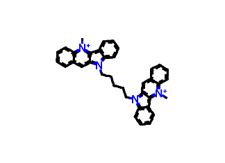 C[n+]1c2ccccc2cc2c1c1ccccc1n2CCCCCn1c2ccccc2c2c1cc1ccccc1[n+]2C